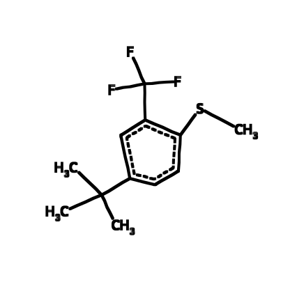 CSc1ccc(C(C)(C)C)cc1C(F)(F)F